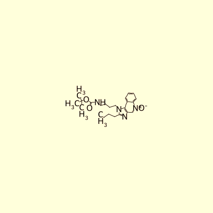 CCCCc1nc2c[n+]([O-])c3ccccc3c2n1CCCCNC(=O)OC(C)(C)C